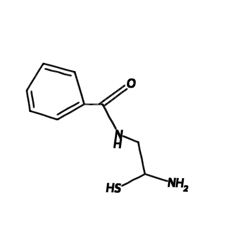 NC(S)CNC(=O)c1ccccc1